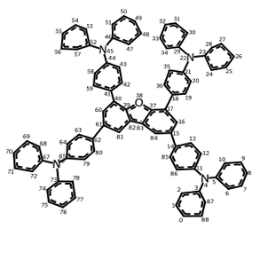 c1ccc(N(c2ccccc2)c2ccc(-c3cc(-c4ccc(N(c5ccccc5)c5ccccc5)cc4)c4oc5c(-c6ccc(N(c7ccccc7)c7ccccc7)cc6)cc(-c6ccc(N(c7ccccc7)c7ccccc7)cc6)cc5c4c3)cc2)cc1